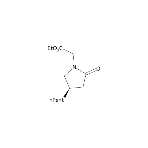 CCCCC[C@@H]1CC(=O)N(CC(=O)OCC)C1